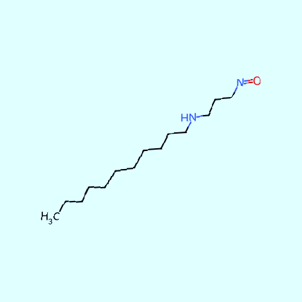 CCCCCCCCCCCNCCCN=O